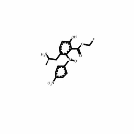 C[C@@H](N)Cc1ccc(O)c(C(=O)OCF)c1[S+]([O-])c1ccc([N+](=O)[O-])cc1